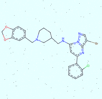 Clc1ccccc1-c1cc(NCC2CCCN(Cc3ccc4c(c3)OCO4)C2)n2ncc(Br)c2n1